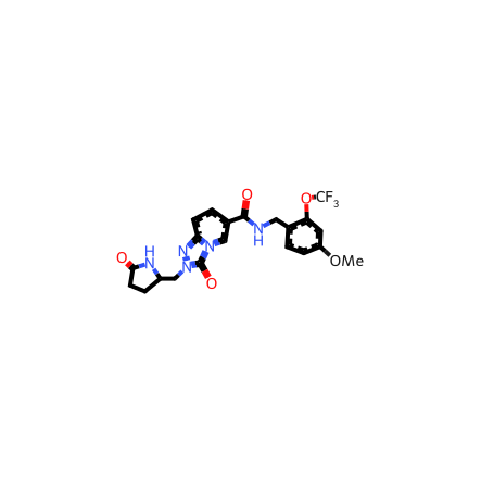 COc1ccc(CNC(=O)c2ccc3nn(CC4CCC(=O)N4)c(=O)n3c2)c(OC(F)(F)F)c1